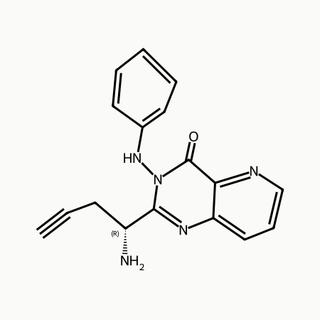 C#CC[C@@H](N)c1nc2cccnc2c(=O)n1Nc1ccccc1